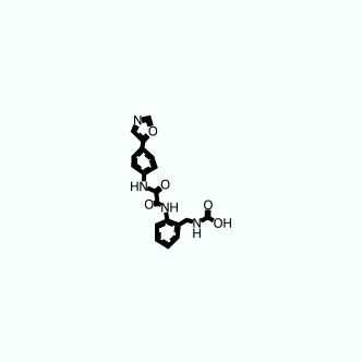 O=C(O)NCc1ccccc1NC(=O)C(=O)Nc1ccc(-c2cnco2)cc1